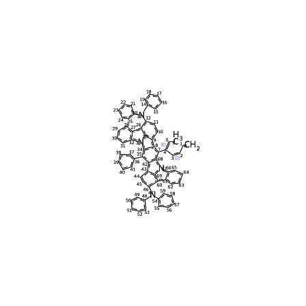 C=C/C=C\C(=C/C)c1c2c3ccc(N(c4ccccc4)c4ccccc4)c4c5ccccc5n(c2c(-c2ccccc2)c2c5ccc(N(c6ccccc6)c6ccccc6)c6c7ccccc7n(c12)c56)c34